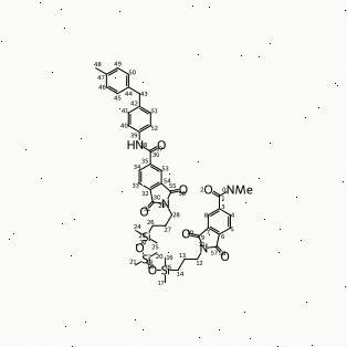 CNC(=O)c1ccc2c(c1)C(=O)N(CCC[Si](C)(C)O[Si](C)(C)O[Si](C)(C)CCCN1C(=O)c3ccc(C(=O)Nc4ccc(Cc5ccc(C)cc5)cc4)cc3C1=O)C2=O